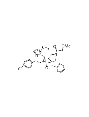 COCC(=O)N1CCC(Cc2ccccc2)(C(=O)N(CCc2ccc(Cl)cc2)Cc2nccn2C)CC1